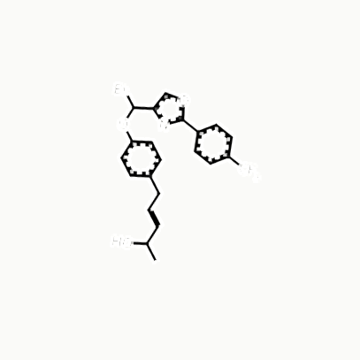 CCC(Oc1ccc(CC=CC(C)O)cc1)c1coc(-c2ccc(C(F)(F)F)cc2)n1